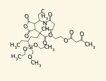 CCO[Si](COC)(OCC)C(CC)CCC(C)(C(=O)OCCOC(=O)CC(C)=O)C1C(=O)OC(=O)C1C(CC)N1CCCC1=O